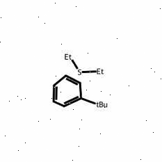 CC(C)(C)c1ccccc1.CCSCC